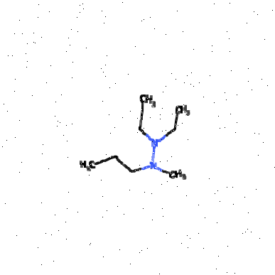 CCCN(C)N(CC)CC